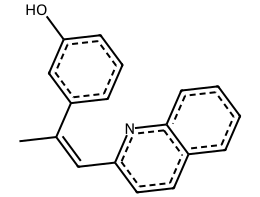 CC(=Cc1ccc2ccccc2n1)c1cccc(O)c1